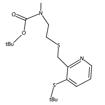 CN(CCSCc1ncccc1SC(C)(C)C)C(=O)OC(C)(C)C